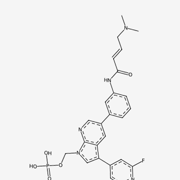 CN(C)C/C=C/C(=O)Nc1cccc(-c2cnc3c(c2)c(-c2ccnc(F)c2)cn3COP(=O)(O)O)c1